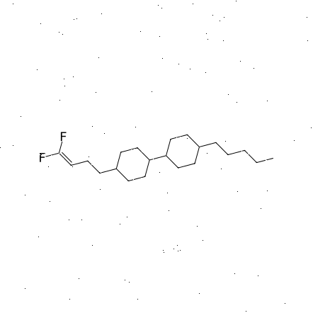 CCCCCC1CCC(C2CCC(CCC=C(F)F)CC2)CC1